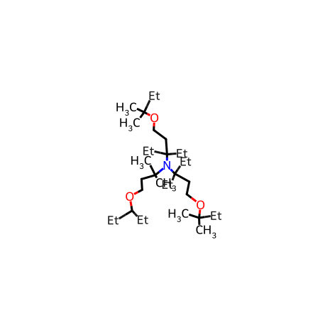 CCC(CC)OCCC(C)(C)N(C(CC)(CC)CCOC(C)(C)CC)C(CC)(CC)CCOC(C)(C)CC